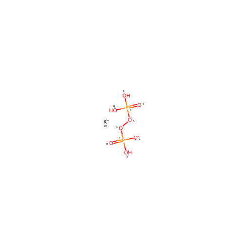 O=P([O-])(O)OOP(=O)(O)O.[K+]